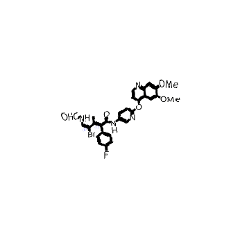 COc1cc2nccc(Oc3ccc(NC(=O)/C(=C(C)/C(Br)=C\NC=O)c4ccc(F)cc4)cn3)c2cc1OC